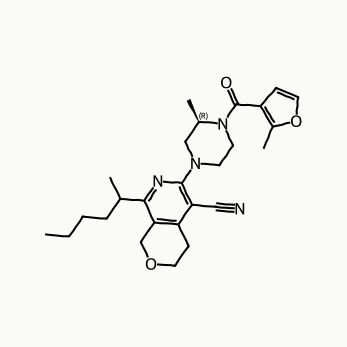 CCCCC(C)c1nc(N2CCN(C(=O)c3ccoc3C)[C@H](C)C2)c(C#N)c2c1COCC2